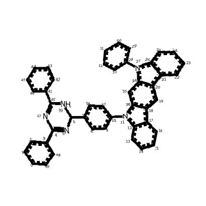 c1ccc(C2=NC(c3ccc(-n4c5ccccc5c5cc6c7ccccc7n(-c7ccccc7)c6cc54)cc3)NC(c3ccccc3)=N2)cc1